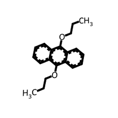 CCCOc1c2ccccc2c(OCCC)c2ccccc12